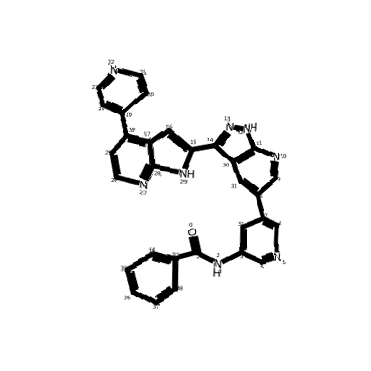 O=C(Nc1cncc(-c2cnc3[nH]nc(-c4cc5c(-c6ccncc6)ccnc5[nH]4)c3c2)c1)c1ccccc1